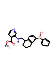 COC(=O)c1ccncc1NCC1CCCc2cc([S+]([O-])c3ccccc3)ccc21